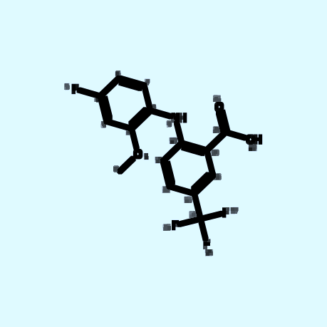 COc1cc(F)ccc1Nc1ccc(C(F)(F)F)cc1C(=O)O